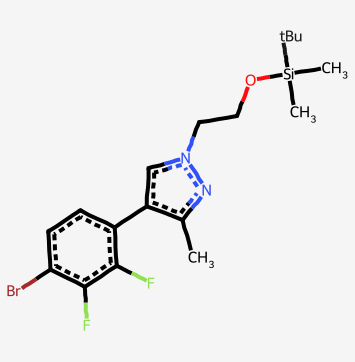 Cc1nn(CCO[Si](C)(C)C(C)(C)C)cc1-c1ccc(Br)c(F)c1F